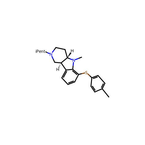 CCCC(C)N1CC[C@H]2[C@H](C1)c1cccc(Sc3ccc(C)cc3)c1N2C